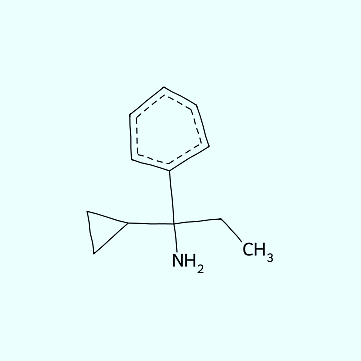 CCC(N)(c1ccccc1)C1CC1